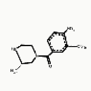 COc1cc(C(=O)N2CCN[C@@H](C)C2)ccc1[N+](=O)[O-]